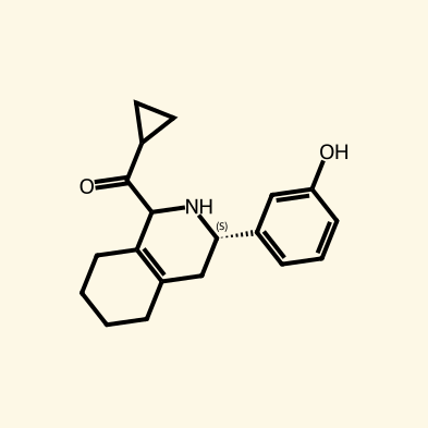 O=C(C1CC1)C1N[C@H](c2cccc(O)c2)CC2=C1CCCC2